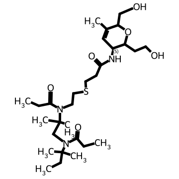 CCC(=O)N(CC(C)(C)N(CCSCCC(=O)N[C@H]1C=C(C)C(CO)OC1CCO)C(=O)CC)C(C)(C)CC